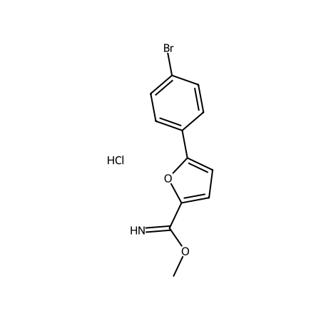 COC(=N)c1ccc(-c2ccc(Br)cc2)o1.Cl